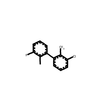 Cc1c(F)[c]ccc1-c1cccc(Cl)c1C(F)(F)F